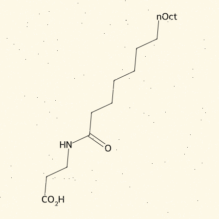 CCCCCCCCCCCCCCC(=O)NCCC(=O)O